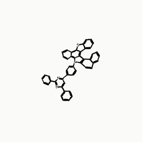 c1ccc(-c2cc(-c3ccc(-n4c5ccc6ccccc6c5c5c6c7ccccc7sc6c6ccccc6c54)cc3)nc(-c3ccccc3)n2)cc1